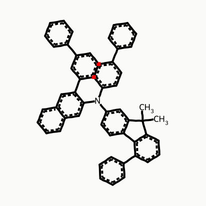 CC1(C)c2cc(N(c3ccc(-c4ccccc4)cc3)c3cc4ccccc4cc3-c3cccc(-c4ccccc4)c3)ccc2-c2c(-c3ccccc3)cccc21